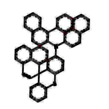 c1ccc(-c2c(N(c3ccc4c(c3)C3(c5ccccc5S4)c4ccccc4-c4cccc5cccc3c45)c3ccc4ccccc4c3)ccc3ccccc23)cc1